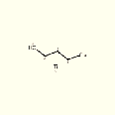 [CH2-]CCCO.[Ti]